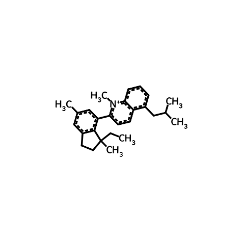 CCC1(C)CCc2cc(C)cc(-c3ccc4c(CC(C)C)cccc4[n+]3C)c21